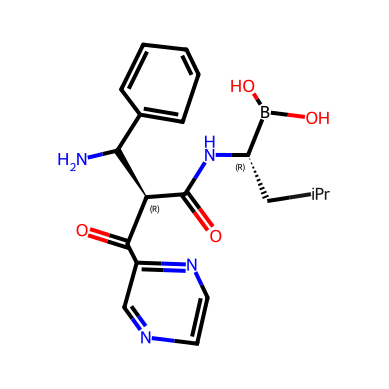 CC(C)C[C@H](NC(=O)[C@@H](C(=O)c1cnccn1)C(N)c1ccccc1)B(O)O